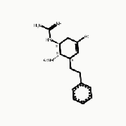 CC(=O)N[C@@H]1[C@@H](NC(=N)N)CC(C(C)=O)=C[C@H]1CCc1ccccc1